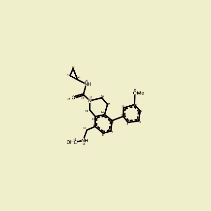 COc1cccc(-c2ccc(CNC=O)c3c2CCN(C(=O)NC2CC2)C3)c1